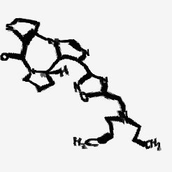 C=CCN(CC=C)Cc1nc(-c2ncn3c2[C@@H]2CCCN2C(=O)c2sccc2-3)no1